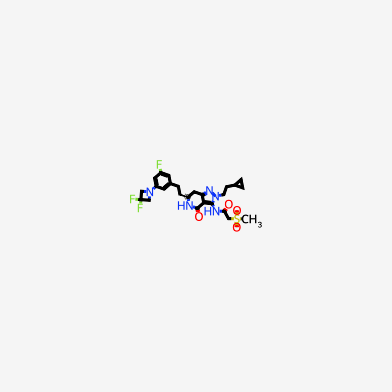 CS(=O)(=O)CC(=O)Nc1c2c(nn1CCC1CC1)C[C@H](CCc1cc(F)cc(N3CC(F)(F)C3)c1)NC2=O